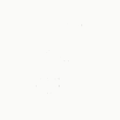 CC(C)(C)[Si](C)(C)CCCSC(CN)c1cc(C(=O)O)ccc1C(=O)O